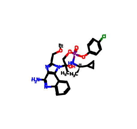 CCOCc1nc2c(N)nc3ccccc3c2n1C(C)(O)COP(=O)(N[C@@H](C)C1CC1)Oc1ccc(Cl)cc1